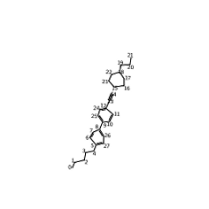 CCCCCc1ccc(-c2ccc(C#C[C@H]3CC[C@H](CCC)CC3)cc2)cc1